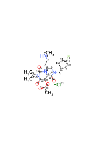 CNCCC1CN(Cc2ccc(F)cc2)C(=O)c2c(OC(C)=O)c(=O)n(C(C)C)c(=O)n21.Cl